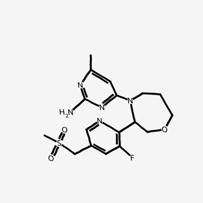 Cc1cc(N2CCCOCC2c2ncc(CS(C)(=O)=O)cc2F)nc(N)n1